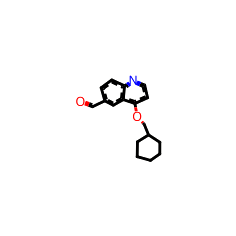 O=Cc1ccc2nccc(OCC3CCCCC3)c2c1